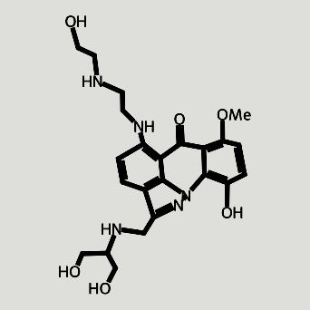 COc1ccc(O)c2c1c(=O)c1c(NCCNCCO)ccc3c(CNC(CO)CO)nn2c31